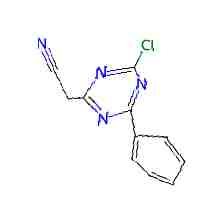 N#CCc1nc(Cl)nc(-c2ccccc2)n1